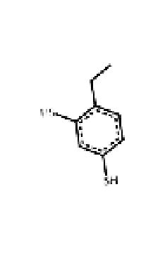 CCc1ccc(S)cc1S